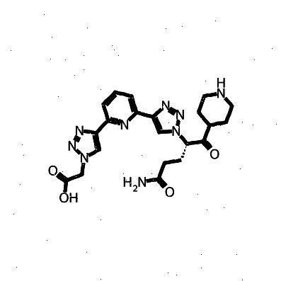 NC(=O)CC[C@@H](C(=O)C1CCNCC1)n1cc(-c2cccc(-c3cn(CC(=O)O)nn3)n2)nn1